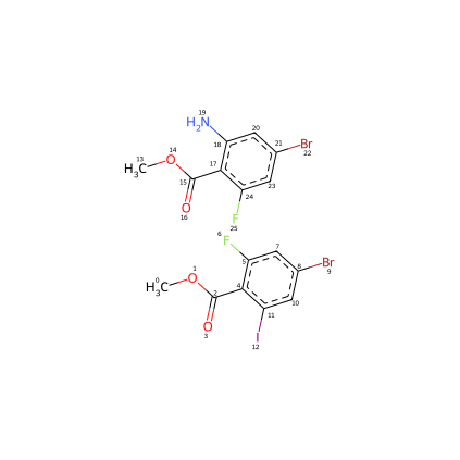 COC(=O)c1c(F)cc(Br)cc1I.COC(=O)c1c(N)cc(Br)cc1F